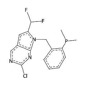 CP(C)c1ccccc1Cn1c(C(F)F)cc2cnc(Cl)nc21